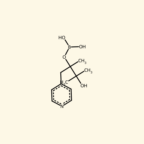 CC(C)(O)C(C)(Cc1ccncc1)OB(O)O